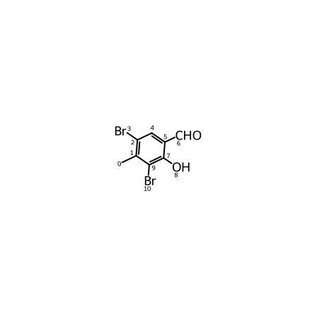 Cc1c(Br)cc(C=O)c(O)c1Br